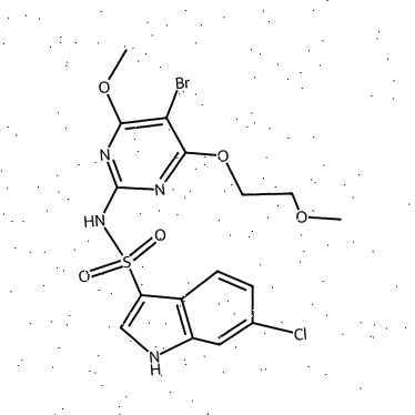 COCCOc1nc(NS(=O)(=O)c2c[nH]c3cc(Cl)ccc23)nc(OC)c1Br